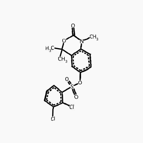 CN1C(=O)OC(C)(C)c2cc(OS(=O)(=O)c3cccc(Cl)c3Cl)ccc21